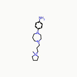 C[N+]1(CCCN2CCCN(c3ccc(N)cc3)CC2)CCCC1